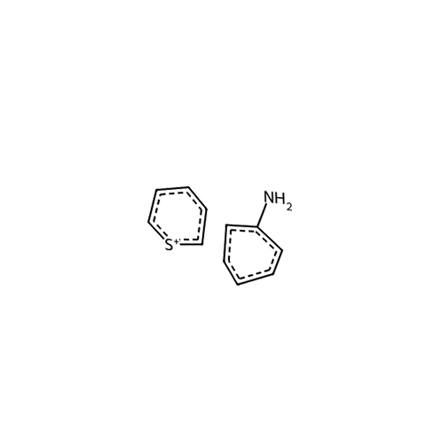 Nc1ccccc1.c1cc[s+]cc1